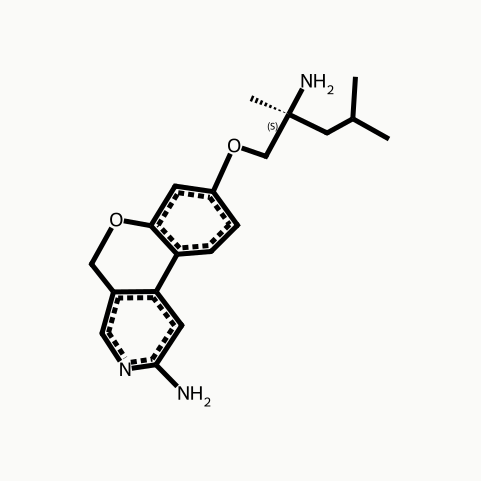 CC(C)C[C@](C)(N)COc1ccc2c(c1)OCc1cnc(N)cc1-2